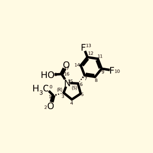 CC(=O)[C@H]1CC[C@@H](c2cc(F)cc(F)c2)N1C(=O)O